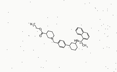 CCOC(=O)C1CCCN(Cc2ccc(C3CCCC(N[C@H](C)c4cccc5ccccc45)C3)cc2)C1